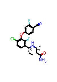 CC[C@@H](N[C@H](C)CC(N)=O)c1ccc(Cl)c(Oc2ccc(C#N)c(F)c2)c1F